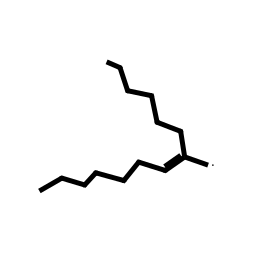 [CH2]C(=CCCCCCC)CCCCCC